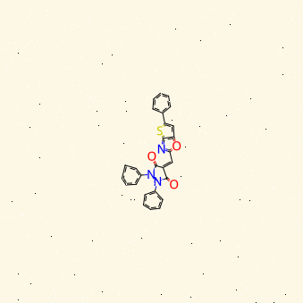 O=C1C(=Cc2nc3sc(-c4ccccc4)cc3o2)C(=O)N(c2ccccc2)N1c1ccccc1